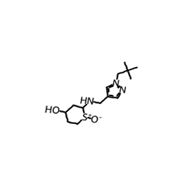 CC(C)(C)Cn1cc(CNC2CC(O)CC[S+]2[O-])cn1